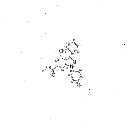 COC(=O)c1ccc2c(-c3ccccc3Cl)nn(-c3ccc(F)cc3)c2c1